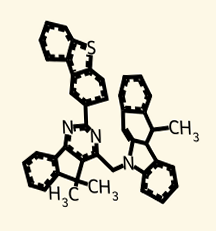 CC1c2ccccc2C=C2C1c1ccccc1N2Cc1nc(-c2ccc3sc4ccccc4c3c2)nc2c1C(C)(C)c1ccccc1-2